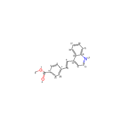 COC(=O)c1ccc(C=Cc2ccnc3ccccc23)cc1